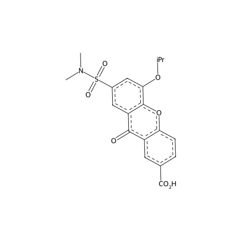 CC(C)Oc1cc(S(=O)(=O)N(C)C)cc2c(=O)c3cc(C(=O)O)ccc3oc12